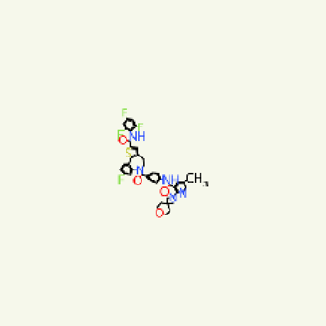 Cc1cnc(N2CC3(CCOCC3)C2)c(C(=O)Nc2ccc(C(=O)N3CCc4cc(C(=O)Nc5c(F)cc(F)cc5F)sc4-c4ccc(F)cc43)cc2)c1